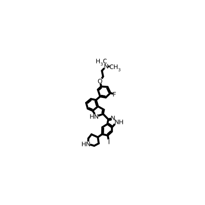 CN(C)CCOc1cc(F)cc(-c2cccc3[nH]c(-c4n[nH]c5cc(I)c(C6CCNCC6)cc45)cc23)c1